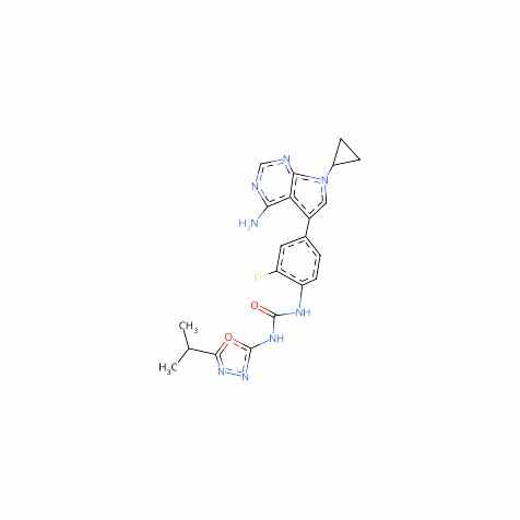 CC(C)c1nnc(NC(=O)Nc2ccc(-c3cn(C4CC4)c4ncnc(N)c34)cc2F)o1